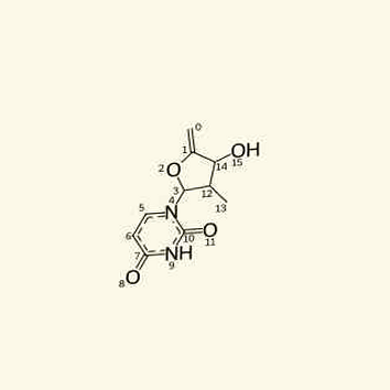 C=C1OC(n2ccc(=O)[nH]c2=O)C(C)C1O